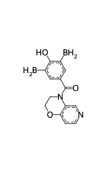 Bc1cc(C(=O)N2CCOc3ccncc32)cc(B)c1O